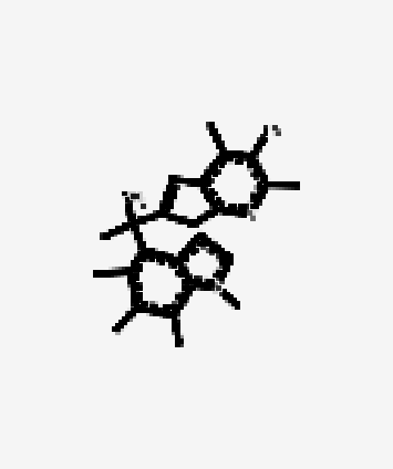 Cc1nc2c(c(C)c1C#N)C=C(C(C)(N)c1c(C)c(C)c(C)c3c1ccn3C)C2